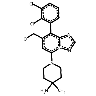 CC1(N)CCN(c2cc(CO)c(-c3cccc(Cl)c3Cl)c3ncnn23)CC1